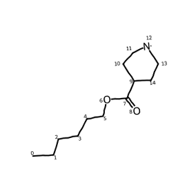 CCCCCCOC(=O)C1CC[N]CC1